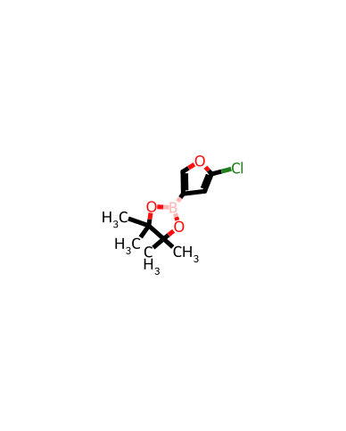 CC1(C)OB(c2coc(Cl)c2)OC1(C)C